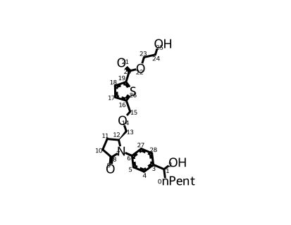 CCCCCC(O)c1ccc(N2C(=O)CC[C@H]2COCc2ccc(C(=O)OCCO)s2)cc1